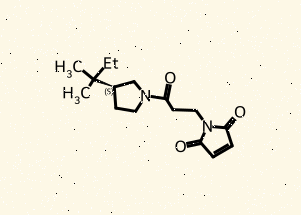 CCC(C)(C)[C@@H]1CCN(C(=O)CCN2C(=O)C=CC2=O)C1